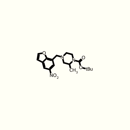 CC1CN(Cc2cc([N+](=O)[O-])cc3ccoc23)CCN1C(=O)OC(C)(C)C